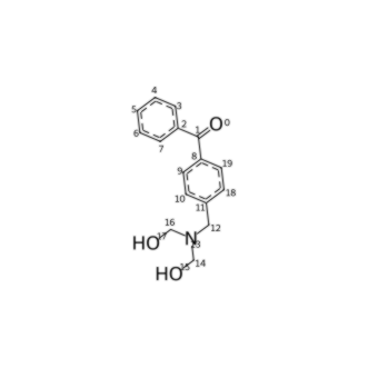 O=C(c1ccccc1)c1ccc(CN(CO)CO)cc1